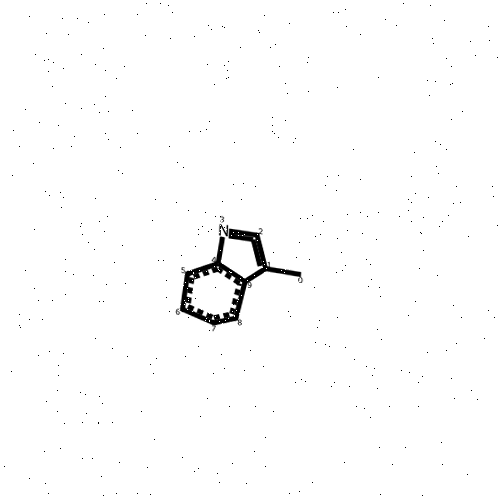 CC1=C=Nc2ccccc21